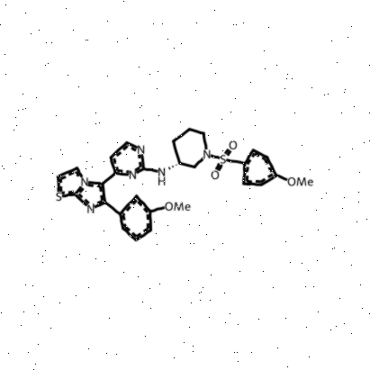 COc1ccc(S(=O)(=O)N2CCC[C@@H](Nc3nccc(-c4c(-c5cccc(OC)c5)nc5sccn45)n3)C2)cc1